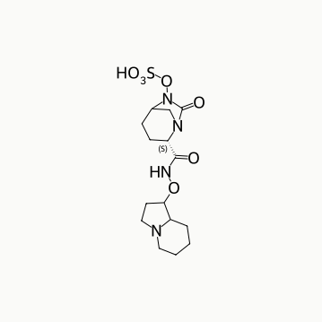 O=C(NOC1CCN2CCCCC12)[C@@H]1CCC2CN1C(=O)N2OS(=O)(=O)O